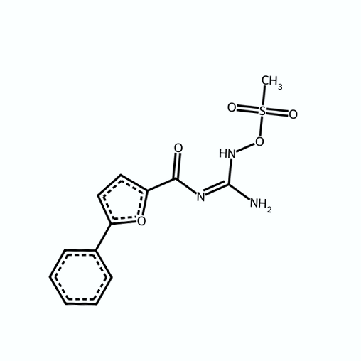 CS(=O)(=O)ONC(N)=NC(=O)c1ccc(-c2ccccc2)o1